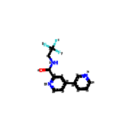 O=C(NCC(F)(F)F)c1cc(-c2cccnc2)ccn1